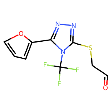 O=CCSc1nnc(-c2ccco2)n1C(F)(F)F